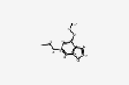 CCCc1cc2c(c(CCC)c1)C=CC2